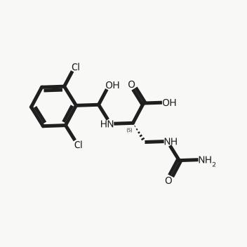 NC(=O)NC[C@H](NC(O)c1c(Cl)cccc1Cl)C(=O)O